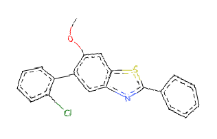 COc1cc2sc(-c3ccccc3)nc2cc1-c1ccccc1Cl